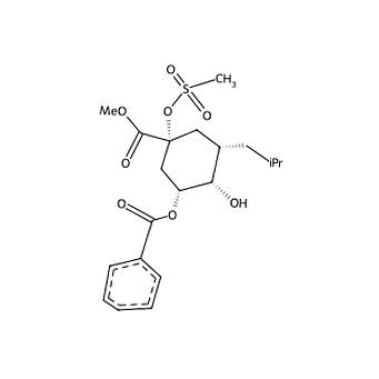 COC(=O)[C@@]1(OS(C)(=O)=O)C[C@H](CC(C)C)[C@H](O)[C@H](OC(=O)c2ccccc2)C1